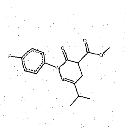 COC(=O)C1CC(C(C)C)=NN(c2ccc(F)cc2)C1=O